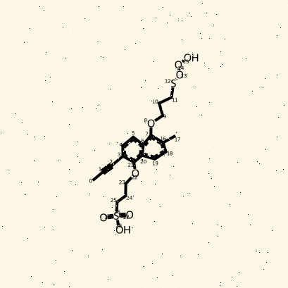 CC#Cc1ccc2c(OCCCSOOO)c(C)ccc2c1OCCCS(=O)(=O)O